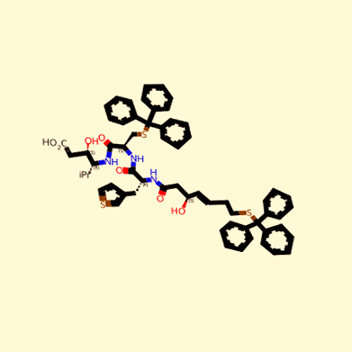 CC(C)[C@@H](NC(=O)[C@@H](CSC(c1ccccc1)(c1ccccc1)c1ccccc1)NC(=O)[C@@H](Cc1ccsc1)NC(=O)C[C@H](O)C=CCCSC(c1ccccc1)(c1ccccc1)c1ccccc1)[C@@H](O)CC(=O)O